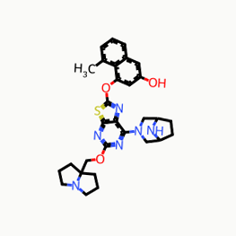 Cc1cccc2cc(O)cc(Oc3nc4c(N5CC6CCC(C5)N6)nc(OCC56CCCN5CCC6)nc4s3)c12